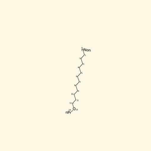 CCCCCCCCCCCCCCCCCCCC[CH]OCCC